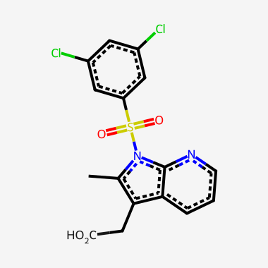 Cc1c(CC(=O)O)c2cccnc2n1S(=O)(=O)c1cc(Cl)cc(Cl)c1